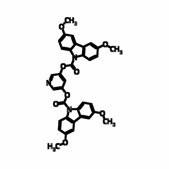 COc1ccc2c(c1)c1cc(OC)ccc1n2C(=O)Oc1cncc(OC(=O)n2c3ccc(OC)cc3c3cc(OC)ccc32)c1